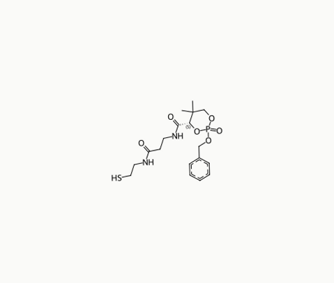 CC1(C)COP(=O)(OCc2ccccc2)O[C@@H]1C(=O)NCCC(=O)NCCS